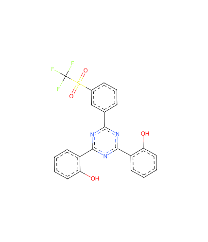 O=S(=O)(c1cccc(-c2nc(-c3ccccc3O)nc(-c3ccccc3O)n2)c1)C(F)(F)F